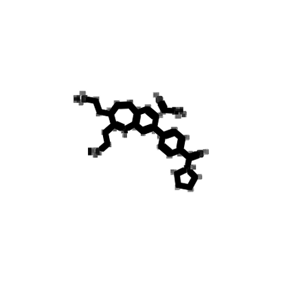 CCCC1=Nc2cc(-c3ccc(C(=O)N4CCCC4)cc3)ccc2C=CC1CCC.NC=O